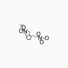 COCCN(C=O)C(=O)CCc1cccc2c1CCN(C(=O)OC(C)(C)C)C2